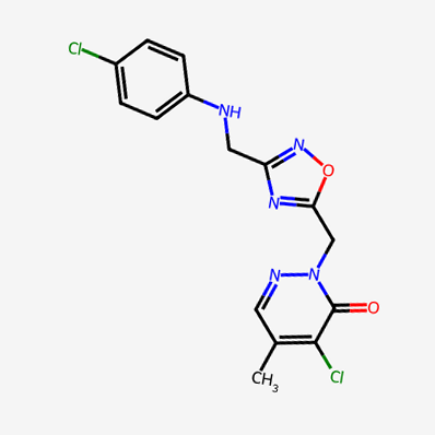 Cc1cnn(Cc2nc(CNc3ccc(Cl)cc3)no2)c(=O)c1Cl